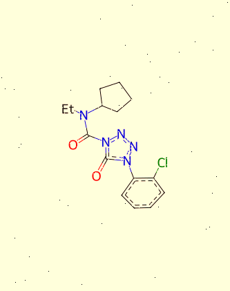 CCN(C(=O)n1nnn(-c2ccccc2Cl)c1=O)C1CCCC1